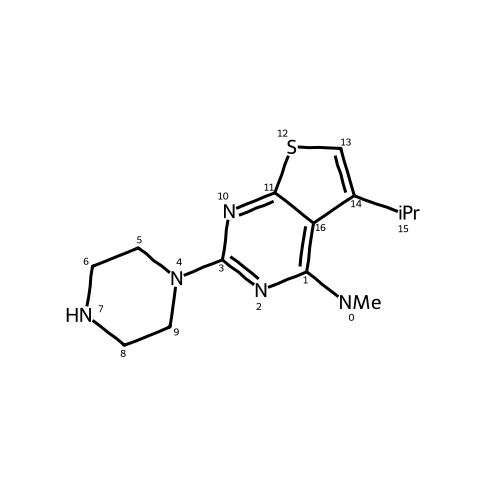 CNc1nc(N2CCNCC2)nc2scc(C(C)C)c12